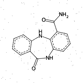 NC(=O)c1cccc2c1Nc1ccccc1C(=O)N2